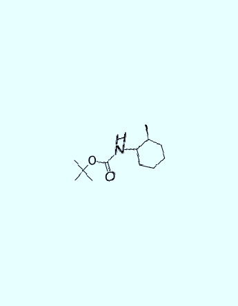 C[C@H]1CCCCC1NC(=O)OC(C)(C)C